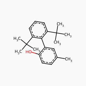 Cc1ccc(O)c(-c2c(C(C)(C)C)cccc2C(C)(C)C)c1